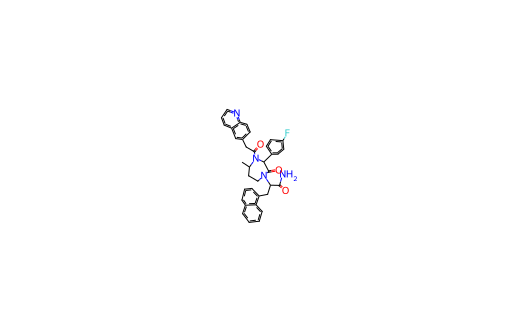 CC1CCN(C(Cc2cccc3ccccc23)C(N)=O)C(=O)C(c2ccc(F)cc2)N1C(=O)Cc1ccc2ncccc2c1